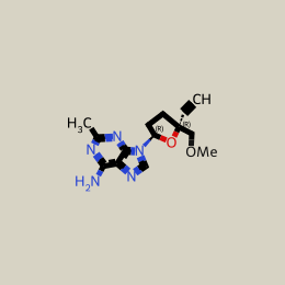 C#C[C@@]1(COC)CC[C@H](n2cnc3c(N)nc(C)nc32)O1